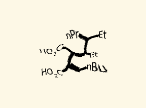 CCCCC=C(C(=O)O)C(C(=O)O)=C(CC)C(CC)CCC